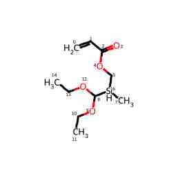 C=CC(=O)OC[SiH](C)C(OCC)OCC